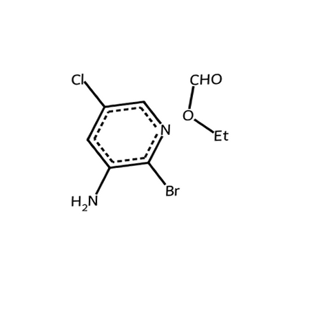 CCOC=O.Nc1cc(Cl)cnc1Br